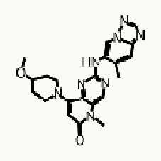 COC1CCN(c2cc(=O)n(C)c3cnc(Nc4cn5ncnc5cc4C)nc23)CC1